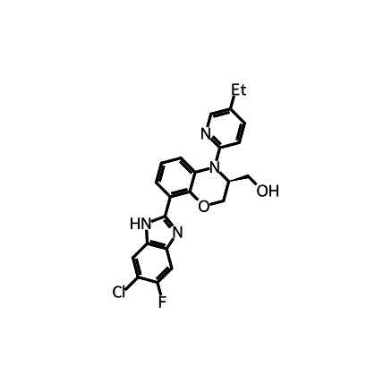 CCc1ccc(N2c3cccc(-c4nc5cc(F)c(Cl)cc5[nH]4)c3OC[C@@H]2CO)nc1